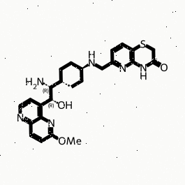 COc1ccc2nccc([C@@H](O)[C@H](N)[C@H]3CC[C@H](NCc4ccc5c(n4)NC(=O)CS5)CC3)c2n1